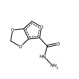 NNC(=O)c1occ2c1OCO2